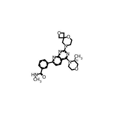 CNC(=O)c1cccc(-c2ccc3c(N4CCOC[C@@H]4C)nc(N4CCOC5(COC5)C4)nc3n2)c1